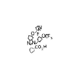 Cn1ccc(COc2ccc3nc([C@H]4CCCC[C@H]4C(=O)O)n(Cc4ccc(OC(F)(F)F)c(F)c4)c3c2)n1